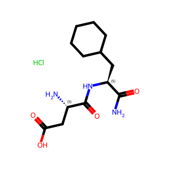 Cl.NC(=O)[C@H](CC1CCCCC1)NC(=O)[C@@H](N)CC(=O)O